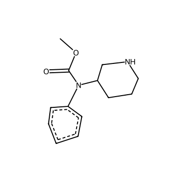 COC(=O)N(c1ccccc1)C1CCCNC1